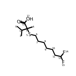 CC(C)C(C)(SCCCCCCC(F)F)C(=O)O